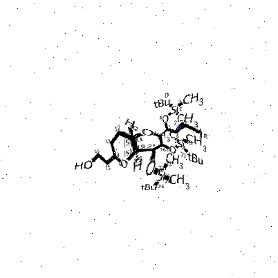 CC(C)(C)[Si](C)(C)OC(/C=C/I)[C@@H]1O[C@H]2CCC(CCO)O[C@@H]2C(O[Si](C)(C)C(C)(C)C)C1O[Si](C)(C)C(C)(C)C